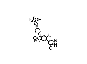 COc1cc(-c2cc3[nH]c(=O)n(C4CCC(N5CC(O)(C(F)(F)F)C5)CC4)c3cc2C(C)C)cn2ncnc12